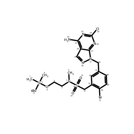 CN(CCO[Si](C)(C)C(C)(C)C)S(=O)(=O)Cc1cc(Cn2ncc3c(N)nc(Cl)nc32)ccc1Br